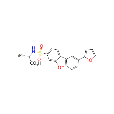 CC(C)[C@H](NS(=O)(=O)c1ccc2c(c1)oc1ccc(-c3ccco3)cc12)C(=O)O